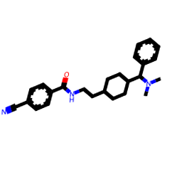 CN(C)C(c1ccccc1)C1CCC(CCNC(=O)c2ccc(C#N)cc2)CC1